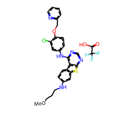 COCCCNc1ccc2c(c1)sc1ncnc(Nc3ccc(OCc4ccccn4)c(Cl)c3)c12.O=C(O)C(F)(F)F